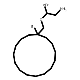 CCCC(CN)OCC1(CC)CCCCCCCCCCCCCC1